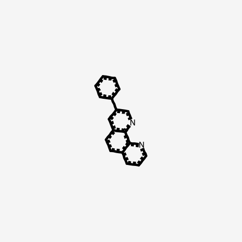 c1ccc(-c2cnc3c(ccc4cccnc43)c2)cc1